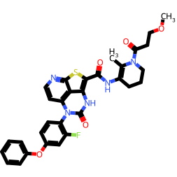 COCCC(=O)N1CCCC(NC(=O)c2sc3nccc4c3c2NC(=O)N4c2ccc(Oc3ccccc3)cc2F)=C1C